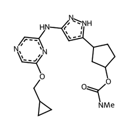 CNC(=O)OC1CCC(c2cc(Nc3cncc(OCC4CC4)n3)n[nH]2)C1